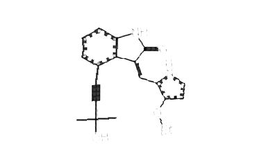 CCOc1cc[nH]c1C=C1C(=O)Nc2cccc(C#CC(C)(C)O)c21